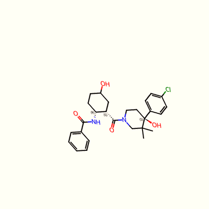 CC1(C)CN(C(=O)[C@H]2CC(O)CC[C@H]2NC(=O)c2ccccc2)CC[C@]1(O)c1ccc(Cl)cc1